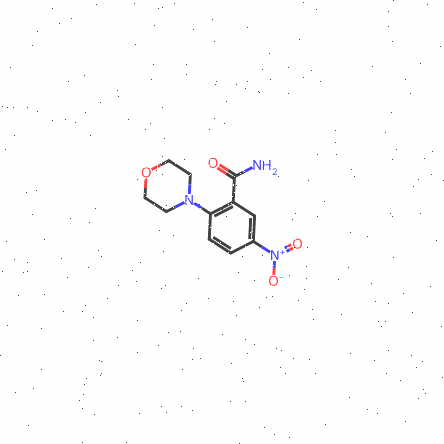 NC(=O)c1cc([N+](=O)[O-])ccc1N1CCOCC1